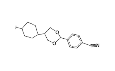 N#Cc1ccc(C2OCC(C3CCC(I)CC3)CO2)cc1